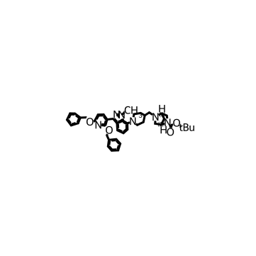 Cn1nc(-c2ccc(OCc3ccccc3)nc2OCc2ccccc2)c2cccc(N3CCC(CN4C[C@@H]5C[C@H]4CN5C(=O)OC(C)(C)C)CC3)c21